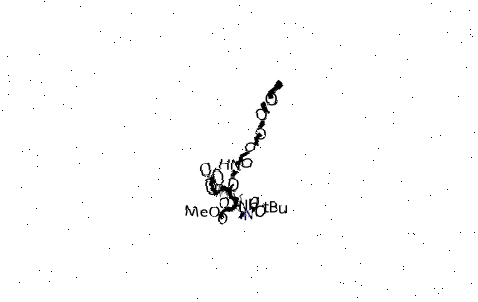 C#CCOCCOCCOCCOCCC(=O)NCCO[C@@H]([C@@H]1OC(C(=O)OC)=C[C@H](N/C(C)=N\C(=O)OC(C)(C)C)[C@H]1C)[C@H]1COC(=O)O1